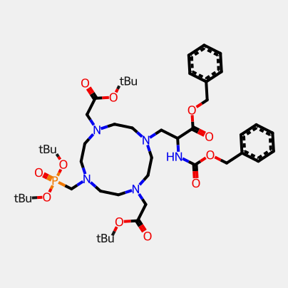 CC(C)(C)OC(=O)CN1CCN(CC(NC(=O)OCc2ccccc2)C(=O)OCc2ccccc2)CCN(CC(=O)OC(C)(C)C)CCN(CP(=O)(OC(C)(C)C)OC(C)(C)C)CC1